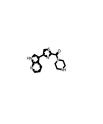 O=C(c1nc(-c2c[nH]c3ncccc23)cs1)N1CCNCC1